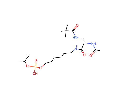 CC(=O)N[C@@H](CNC(=O)C(C)(C)C)C(=O)NCCCCCCOP(=O)(O)OC(C)C